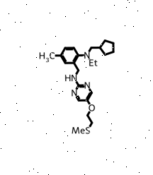 CCN(CC1CCCC1)c1ccc(C)cc1CNc1ncc(OCCSC)cn1